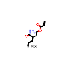 C=CC(=O)OCCC(CCCCCCCCC)C(N)=O